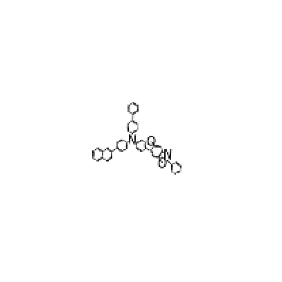 c1ccc(-c2ccc(N(c3ccc(-c4ccc5ccccc5c4)cc3)c3ccc4c(c3)oc3cc5nc(-c6ccccc6)oc5cc34)cc2)cc1